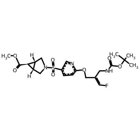 COC(=O)[C@H]1[C@@H]2CN(S(=O)(=O)c3ccc(OC/C(=C/F)CNC(=O)OC(C)(C)C)nc3)C[C@@H]21